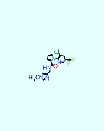 Cn1cnc(CNC(=O)c2cccn2-c2ncc(C(F)(F)F)cc2Cl)c1